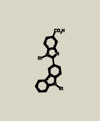 CCn1c(-c2ccc3c(c2)c2ccccc2n3CC)nc2cc(C(=O)O)ccc21